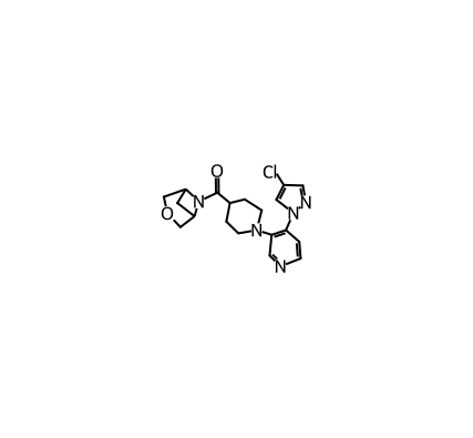 O=C(C1CCN(c2cnccc2-n2cc(Cl)cn2)CC1)N1C2COCC1C2